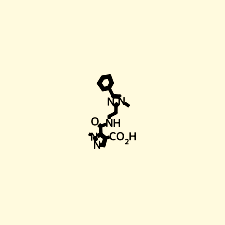 Cn1cc(-c2ccccc2)nc1CCNC(=O)c1c(C(=O)O)cnn1C